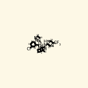 C[C@@H]1C2CC(C2)N(C(=O)c2cc(Cl)ccc2-n2nccn2)[C@@H]1CNc1cnc(C(F)(F)F)cn1